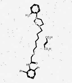 Cc1ccccc1N1CCN(CCCCCCSCC(=O)Nc2c(C(C)C)cccc2C(C)C)CC1.O=C(O)C=CC(=O)O